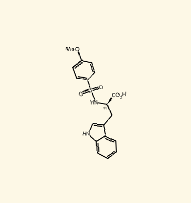 COc1ccc(S(=O)(=O)N[C@H](Cc2c[nH]c3ccccc23)C(=O)O)cc1